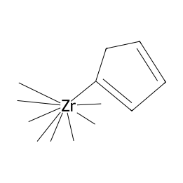 [CH3][Zr]([CH3])([CH3])([CH3])([CH3])([CH3])([CH3])([CH3])[C]1=CC=CC1